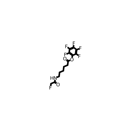 O=C(CF)NCCCCCC(=O)Oc1c(F)c(F)c(F)c(F)c1F